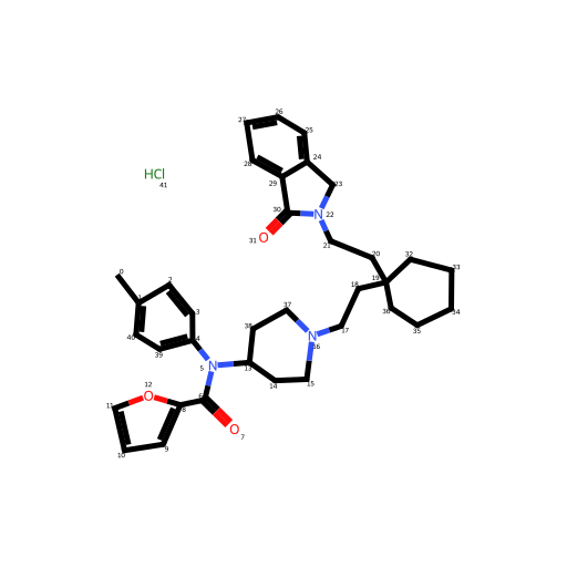 Cc1ccc(N(C(=O)c2ccco2)C2CCN(CCC3(CCN4Cc5ccccc5C4=O)CCCCC3)CC2)cc1.Cl